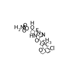 Cc1sc(C(=O)c2cncnc2N[C@@H]2C[C@H](COS(N)(=O)=O)[C@@H](O)[C@@H]2F)cc1C1OCCc2ccc(Cl)cc21